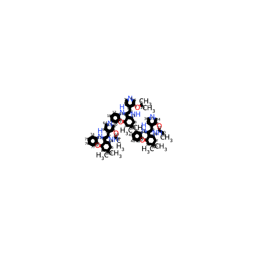 CC(C)Oc1cnccc1-c1[nH]c2c(c1Nc1ccccc1)C(=O)CC(C)(C)C2.CCCOc1cnccc1-c1[nH]c2c(c1Nc1ccccc1)C(=O)CC(C)(C)C2.CCOc1cnccc1-c1[nH]c2c(c1Nc1ccccc1)C(=O)CC(C)(C)C2